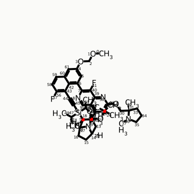 COCOc1cc(-c2ncc3c(N4C[C@H]5CC[C@@H](C4)N5C(=O)OC(C)(C)C)nc(OC[C@]4(C)CCCN4C)nc3c2F)c2c(C#C[Si](C(C)C)(C(C)C)C(C)C)c(F)ccc2c1